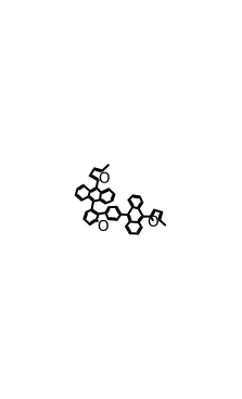 Cc1ccc(-c2c3ccccc3c(-c3ccc4c(c3)oc3cccc(-c5c6ccccc6c(-c6ccc(C)o6)c6ccccc56)c34)c3ccccc23)o1